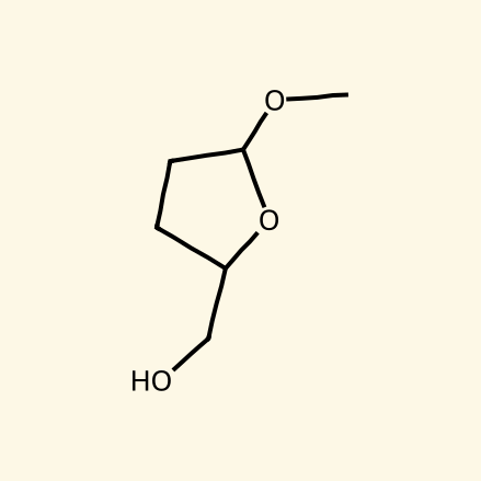 COC1CCC(CO)O1